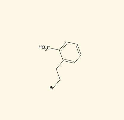 O=C(O)c1ccccc1CCBr